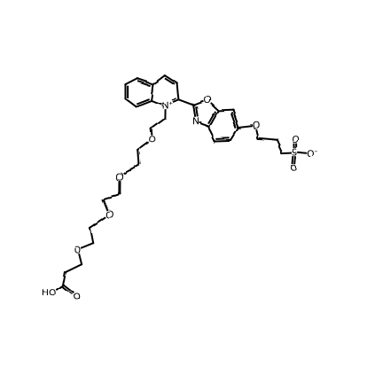 O=C(O)CCOCCOCCOCCOCC[n+]1c(-c2nc3ccc(OCCCS(=O)(=O)[O-])cc3o2)ccc2ccccc21